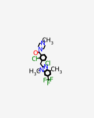 Cc1cc(C(F)(F)F)cc2c1nc(Cc1c(Cl)ccc(C(=O)N3CCN(C)CC3)c1Cl)n2C